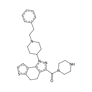 O=C(c1nn(C2CCN(CCc3ccccc3)CC2)c2c1CCc1sccc1-2)N1CCNCC1